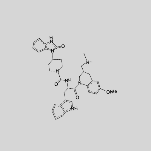 COc1ccc2c(c1)CC(CN(C)C)CN2C(=O)C(Cc1c[nH]c2ccccc12)NC(=O)N1CCC(n2c(=O)[nH]c3ccccc32)CC1